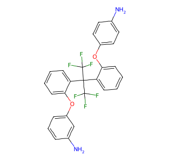 Nc1ccc(Oc2ccccc2C(c2ccccc2Oc2cccc(N)c2)(C(F)(F)F)C(F)(F)F)cc1